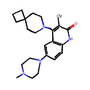 CN1CCN(c2ccc3[nH]c(=O)c(C#N)c(N4CCC5(CCC5)CC4)c3c2)CC1